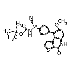 COc1ccc2[nH]c(=O)c3sccc3c2c1-c1ccc([C@H](C#N)NC(=O)OC(C)(C)C)cc1